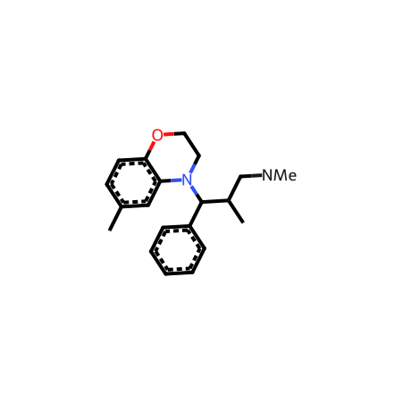 CNCC(C)C(c1ccccc1)N1CCOc2ccc(C)cc21